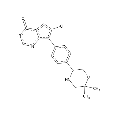 CC1(C)CNC(c2ccc(-n3c(Cl)cc4c(=O)[nH]cnc43)cc2)CO1